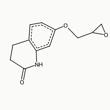 O=C1CCc2ccc(OCC3CO3)cc2N1